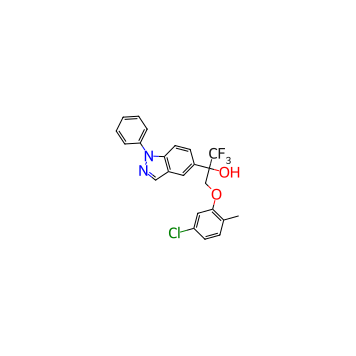 Cc1ccc(Cl)cc1OCC(O)(c1ccc2c(cnn2-c2ccccc2)c1)C(F)(F)F